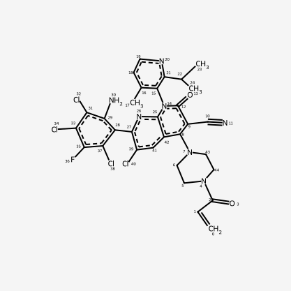 C=CC(=O)N1CCN(c2c(C#N)c(=O)n(-c3c(C)ccnc3C(C)C)c3nc(-c4c(N)c(Cl)c(Cl)c(F)c4Cl)c(Cl)cc23)CC1